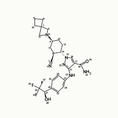 N#C[C@H]1C[C@@H](N2CC3(CCC3)C2)CC[C@@H]1n1cc(C(N)=O)c(Nc2ccc([C@@H](O)C(F)(F)F)cc2)n1